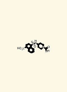 CCCC(=O)N1CCC(NS(=O)(=O)c2ccc(C(=O)O)c3ccccc23)CC1